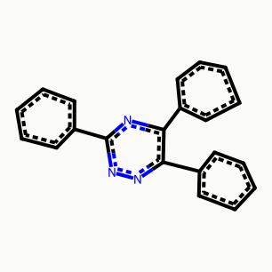 c1ccc(-c2nnc(-c3ccccc3)c(-c3ccccc3)n2)cc1